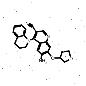 N#Cc1cnc2cc(OC3CCOC3)c(N)cc2c1N1CCCc2ccccc21